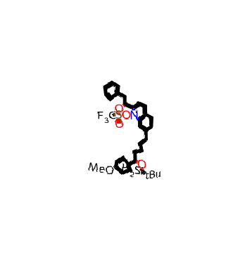 COc1ccc(C(CCCCc2ccc3ccc(C(Cc4ccccc4)OS(=O)(=O)C(F)(F)F)nc3c2)O[SiH2]C(C)(C)C)cc1